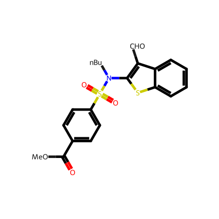 CCCCN(c1sc2ccccc2c1C=O)S(=O)(=O)c1ccc(C(=O)OC)cc1